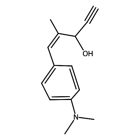 C#CC(O)C(C)=Cc1ccc(N(C)C)cc1